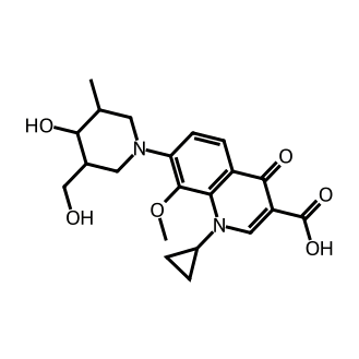 COc1c(N2CC(C)C(O)C(CO)C2)ccc2c(=O)c(C(=O)O)cn(C3CC3)c12